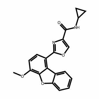 COc1ccc(-c2nc(C(=O)NC3CC3)co2)c2c1oc1ccccc12